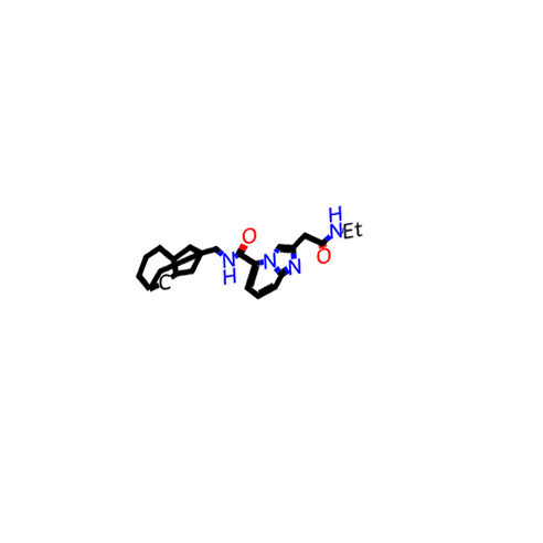 CCNC(=O)Cc1cn2c(C(=O)NCC34CC5CCCC(C3)C(C5)C4)cccc2n1